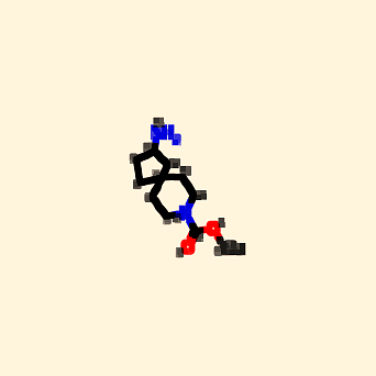 CC(C)(C)OC(=O)N1CCC2(CCC(N)C2)CC1